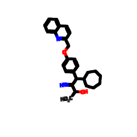 N=C(C(O)C(=O)O)C(c1ccc(OCc2ccc3ccccc3n2)cc1)C1CCCCCC1